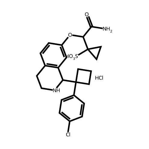 Cl.NC(=O)C(Oc1ccc2c(c1)C(C1(c3ccc(Cl)cc3)CCC1)NCC2)C1(S(=O)(=O)O)CC1